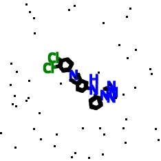 Clc1ccc(N2Cc3ccc(Nc4ccccc4-n4cnnn4)cc3C2)cc1Cl